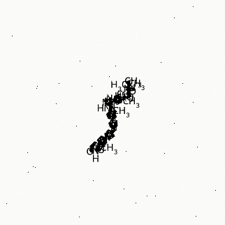 Cc1cc(N2CCN(CC3CCN(c4ccc(N5CCC(=O)NC5=O)c(C)c4)CC3)CC2)ccc1-c1nc2c(-c3ccc([C@@H](C)NC(=O)c4nc(C(C)(C)C)no4)c(C)c3)ncnc2[nH]1